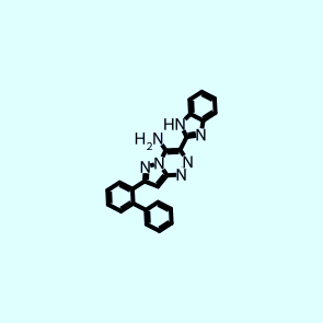 Nc1c(-c2nc3ccccc3[nH]2)nnc2cc(-c3ccccc3-c3ccccc3)nn12